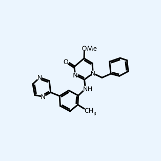 COc1cn(Cc2ccccc2)c(Nc2cc(-c3cnccn3)ccc2C)nc1=O